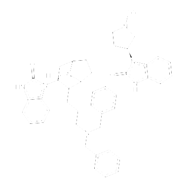 O=C(O)N1C2CCC1C(CCCN(Cc1ccccc1)Cc1ccccc1)C(n1c(=O)[nH]c3ccccc31)C2.O=C(O)N1CC[C@H](n2c(=O)[nH]c3ccccc32)C1